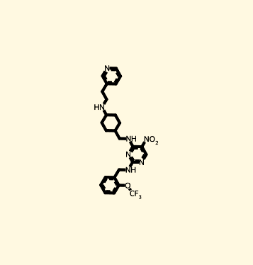 O=[N+]([O-])c1cnc(NCc2ccccc2OC(F)(F)F)nc1NCC1CCC(NCCc2cccnc2)CC1